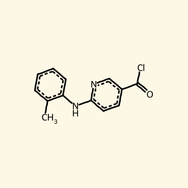 Cc1ccccc1Nc1ccc(C(=O)Cl)cn1